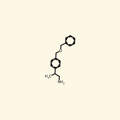 CC(CN)c1ccc(COCc2ccccc2)cc1